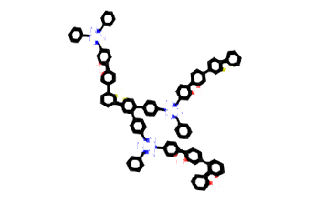 c1ccc(-c2nc(-c3ccc(-c4cc5sc6c(-c7ccc8c(c7)oc7cc(-c9nc(-c%10ccccc%10)nc(-c%10ccccc%10)n9)ccc78)cccc6c5cc4-c4ccc(-c5nc(-c6ccccc6)nc(-c6ccc7c(c6)oc6cc(-c8cccc9oc%10ccccc%10c89)ccc67)n5)cc4)cc3)nc(-c3ccc4c(c3)oc3cc(-c5ccc6c(c5)sc5ccccc56)ccc34)n2)cc1